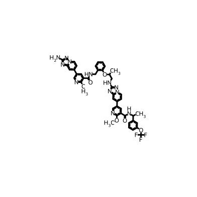 COc1ncc(-c2ccn3nc(NCC(C)Oc4ccccc4CNC(=O)c4cc(-c5ccn6nc(N)nc6c5)cnc4C)nc3c2)cc1C(=O)NC(C)c1cccc(OC(F)(F)F)c1